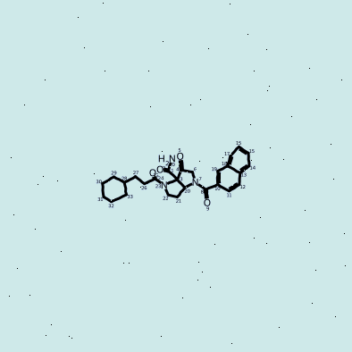 NC(=O)C12C(=O)CN(C(=O)c3ccc4ccccc4c3)C1CCN2C(=O)[CH]CC1CCCCC1